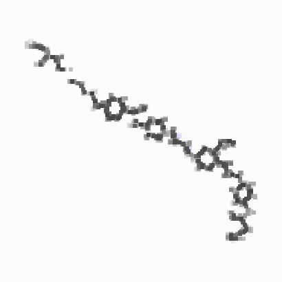 C=CC(=O)OCCCCCCOc1ccc(C(=O)Oc2ccc(/C=N/N=C/c3ccc(OOCc4ccc(OC(=O)C=C)cc4)c(OC)c3)cc2)cc1